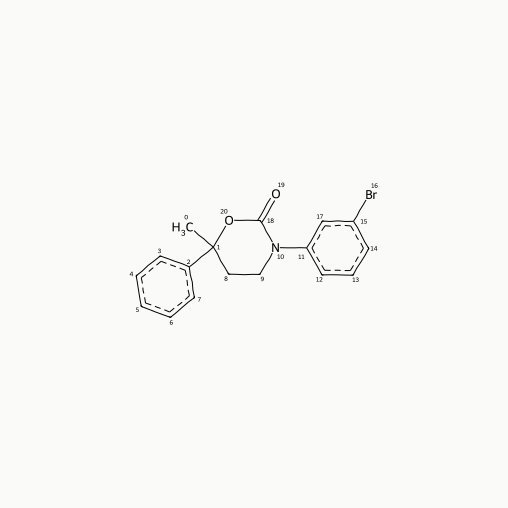 CC1(c2ccccc2)CCN(c2cccc(Br)c2)C(=O)O1